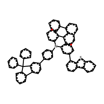 c1ccc(-c2cccc3cccc(-c4ccccc4N(c4ccc(-c5ccc6c(c5)C(c5ccccc5)(c5ccccc5)c5ccccc5-6)cc4)c4cccc(-c5cccc6c5sc5ccccc56)c4)c23)cc1